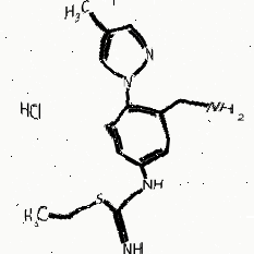 CCSC(=N)Nc1ccc(-n2cc(C)cn2)c(CN)c1.Cl